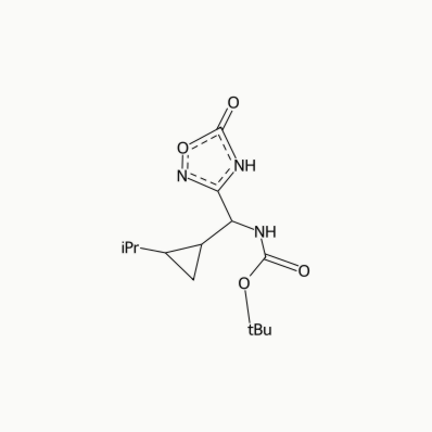 CC(C)C1CC1C(NC(=O)OC(C)(C)C)c1noc(=O)[nH]1